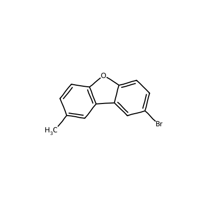 Cc1ccc2oc3ccc(Br)cc3c2c1